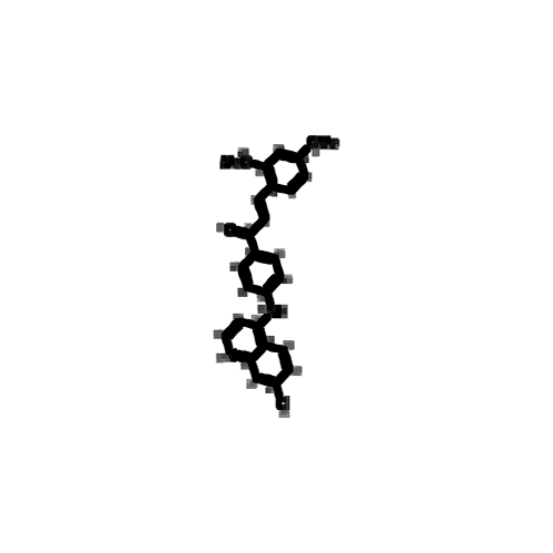 COc1ccc(C=CC(=O)c2ccc(Nc3ccnc4cc(Cl)ccc34)cc2)c(OC)c1